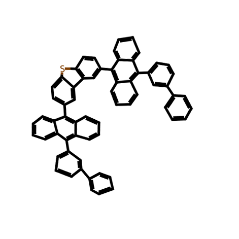 c1ccc(-c2cccc(-c3c4ccccc4c(-c4ccc5sc6ccc(-c7c8ccccc8c(-c8cccc(-c9ccccc9)c8)c8ccccc78)cc6c5c4)c4ccccc34)c2)cc1